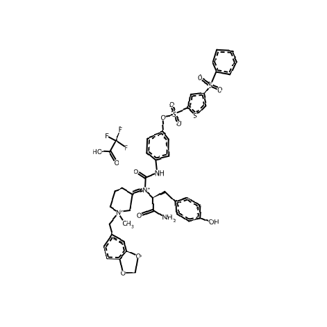 C[N+]1(Cc2ccc3c(c2)OCO3)CCC/C(=[N+](\C(=O)Nc2ccc(OS(=O)(=O)c3cc(S(=O)(=O)c4ccccc4)cs3)cc2)[C@@H](Cc2ccc(O)cc2)C(N)=O)C1.O=C(O)C(F)(F)F